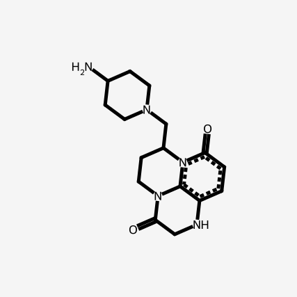 NC1CCN(CC2CCN3C(=O)CNc4ccc(=O)n2c43)CC1